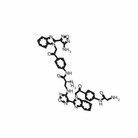 NCC(=O)Nc1ccc(C(=O)Cn2c(-c3nonc3NC[C@H](N)C(=O)Nc3ccc(C(=O)Cn4c(-c5nonc5N)nc5ccccc54)cc3)nc3ccccc32)cc1